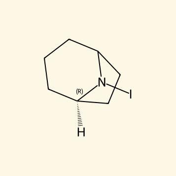 IN1C2CCC[C@@H]1CC2